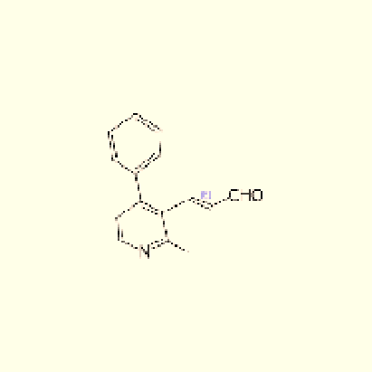 Cc1nccc(-c2ccccc2)c1/C=C/C=O